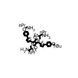 CCCCOc1ccc(-c2ccc(C3=C4C(=O)N(CC(CC)C(N)CCC)C(c5ccc(-c6ccc(OC(N)CCC)cc6)s5)=C4C(=O)N3CC(CC)C(N)CCC)s2)cc1